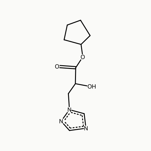 O=C(OC1CCCC1)C(O)Cn1cncn1